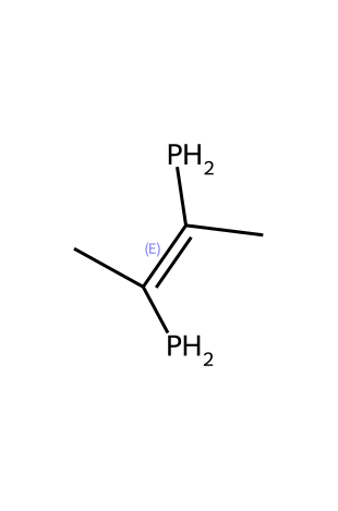 C/C(P)=C(/C)P